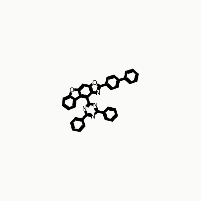 c1ccc(-c2ccc(-c3nc4c(-c5nc(-c6ccccc6)nc(-c6ccccc6)n5)c5c(cc4o3)oc3ccccc35)cc2)cc1